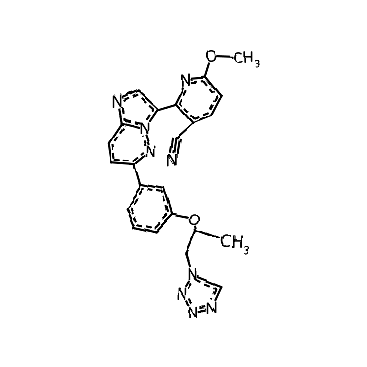 COc1ccc(C#N)c(-c2cnc3ccc(-c4cccc(OC(C)Cn5cnnn5)c4)nn23)n1